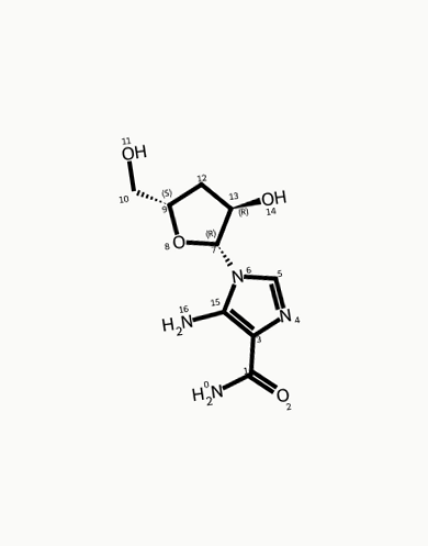 NC(=O)c1ncn([C@@H]2O[C@H](CO)C[C@H]2O)c1N